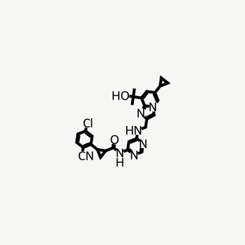 CC(C)(O)c1cc(C2CC2)cn2cc(CNc3cc(NC(=O)C4CC4c4cc(Cl)ccc4C#N)ncn3)nc12